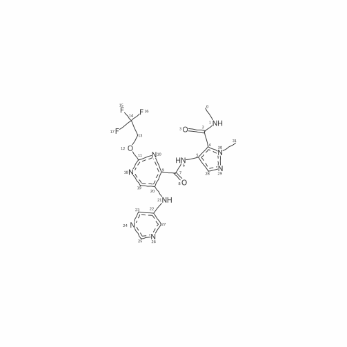 CNC(=O)c1c(NC(=O)c2nc(OCC(F)(F)F)ncc2Nc2cncnc2)cnn1C